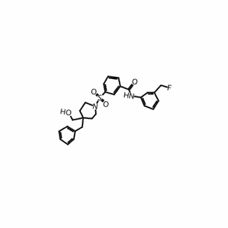 O=C(Nc1cccc(CF)c1)c1cccc(S(=O)(=O)N2CCC(CO)(Cc3ccccc3)CC2)c1